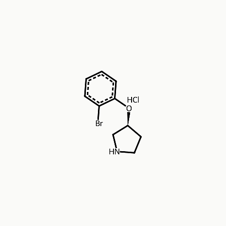 Brc1ccccc1O[C@H]1CCNC1.Cl